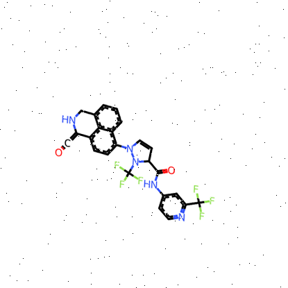 O=C=C1NCc2cccc3c(N4C=CC(C(=O)Nc5ccnc(C(F)(F)F)c5)N4C(F)(F)F)ccc1c23